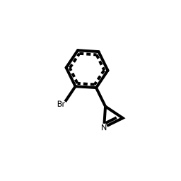 Brc1ccccc1C1C=N1